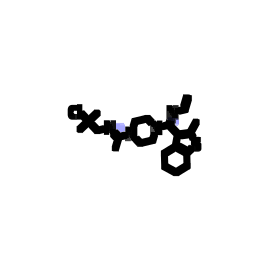 C=C/N=C(\c1c(C)sc2c1CCCC2)N1CCN(/C(C)=N/CC(C)(C)Cl)CC1